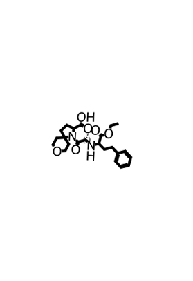 CCOC(=O)C(CCc1ccccc1)N[C@@H](C)C(=O)N1C(C(=O)O)CCC12CCOCC2